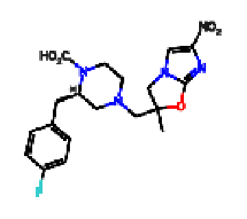 CC1(CN2CCN(C(=O)O)[C@H](Cc3ccc(F)cc3)C2)Cn2cc([N+](=O)[O-])nc2O1